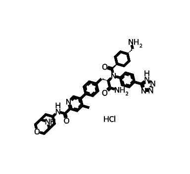 Cc1cc(C(=O)NC2CC3COCC(C2)N3)ncc1-c1ccc(C[C@@H](C(N)=O)N(c2ccc(-c3nnn[nH]3)cc2)C(=O)[C@H]2CC[C@H](CN)CC2)cc1.Cl